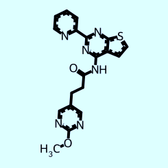 COc1ncc(CCC(=O)Nc2nc(-c3ccccn3)nc3sccc23)cn1